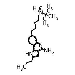 CCCc1cc2c(N)nc3cc(CCCCCN(C)C(C)(C)C)ccc3c2[nH]1